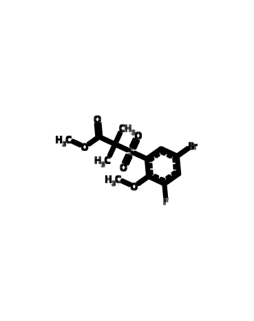 COC(=O)C(C)(C)S(=O)(=O)c1cc(Br)cc(F)c1OC